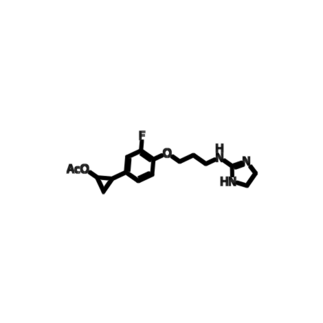 CC(=O)OC1CC1c1ccc(OCCCNC2=NCCN2)c(F)c1